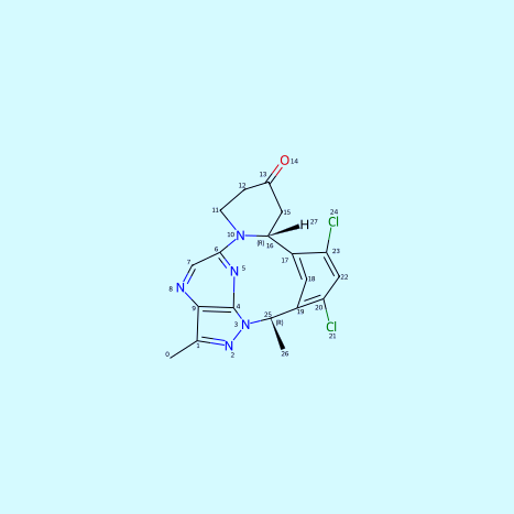 Cc1nn2c3nc(cnc13)N1CCC(=O)C[C@@H]1c1cc(c(Cl)cc1Cl)[C@H]2C